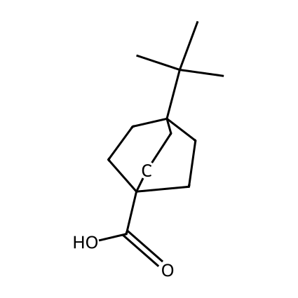 CC(C)(C)C12CCC(C(=O)O)(CC1)CC2